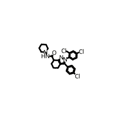 O=C(NN1CCCCC1)C1CCCc2c1nn(-c1ccc(Cl)cc1Cl)c2-c1ccc(Cl)cc1